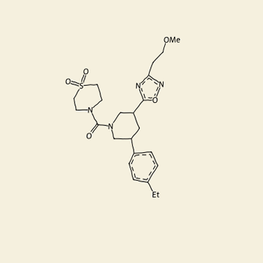 CCc1ccc(C2CC(c3nc(CCOC)no3)CN(C(=O)N3CCS(=O)(=O)CC3)C2)cc1